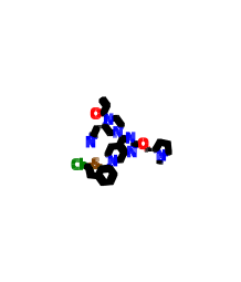 C=CC(=O)N1CCN(c2nc(OC[C@@H]3CCCN3C)nc3c2CCN(c2cccc4cc(Cl)sc24)C3)C[C@@H]1CC#N